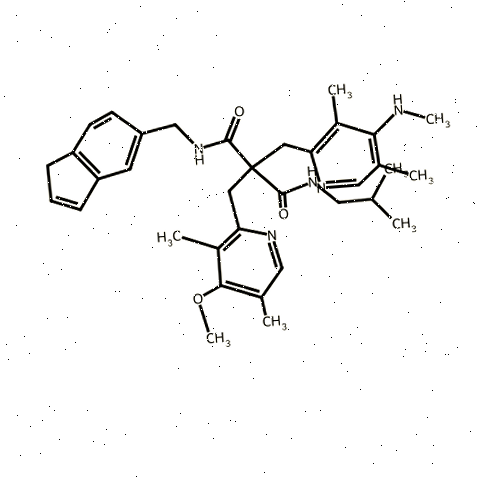 CNc1c(C)cnc(CC(Cc2ncc(C)c(OC)c2C)(C(=O)NCc2ccc3c(c2)C=CC3)C(=O)NCC(C)C)c1C